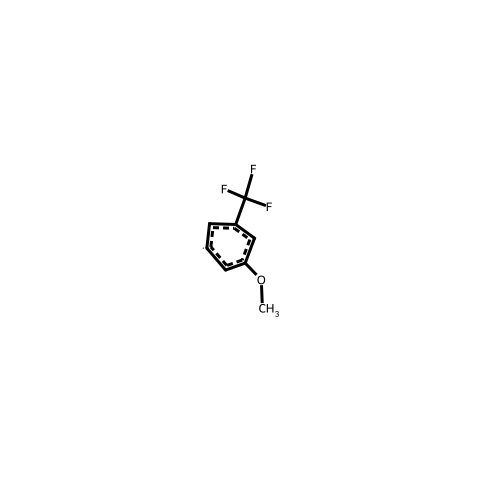 COc1c[c]cc(C(F)(F)F)c1